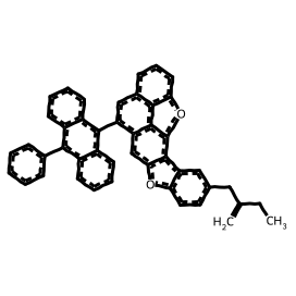 C=C(CC)Cc1ccc2oc3cc4c(-c5c6ccccc6c(-c6ccccc6)c6ccccc56)cc5cccc6oc(c3c2c1)c4c56